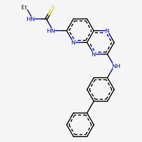 CCNC(=S)Nc1ccc2ncc(Nc3ccc(-c4ccccc4)cc3)nc2n1